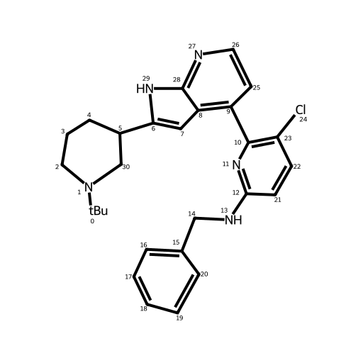 CC(C)(C)N1CCCC(c2cc3c(-c4nc(NCc5ccccc5)ccc4Cl)ccnc3[nH]2)C1